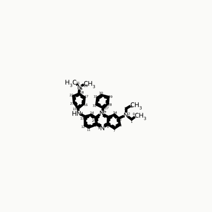 CCN(CC)c1ccc2nc3ccc(Nc4ccc(N(C)C)cc4)cc3[n+](-c3ccccc3)c2c1